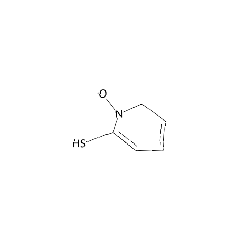 [O]N1CC=CC=C1S